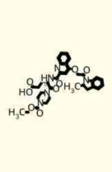 CCOC(=O)N1CCN(C(=O)[C@H](CCC(=O)O)NC(=O)c2cc(OCC(=O)N3c4ccccc4CC3C)c3ccccc3n2)CC1